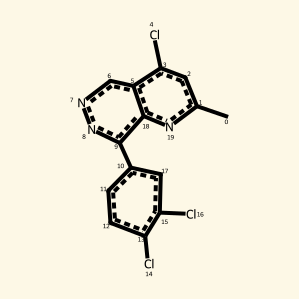 Cc1cc(Cl)c2cnnc(-c3ccc(Cl)c(Cl)c3)c2n1